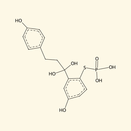 O=P(O)(O)Sc1ccc(O)cc1C(O)(O)CCc1ccc(O)cc1